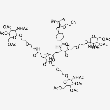 CC(=O)NC1C(OCCOCCNC(=O)CCC(NC(=O)CCC(NC(=O)[C@H]2CC[C@H](OP(OCCC#N)N(C(C)C)C(C)C)CC2)C(=O)NCCOCCOC2(NC(C)=O)COC(COC(C)=O)C(OC(C)=O)C2OC(C)=O)C(=O)NCCOCCOC2OC(COC(C)=O)C(OC(C)=O)C(OC(C)=O)C2NC(C)=O)OC(COC(C)=O)C(OC(C)=O)C1OC(C)=O